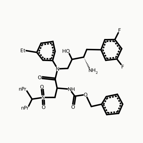 CCCC(CCC)S(=O)(=O)CC(NC(=O)OCc1ccccc1)C(=O)N(CC(O)[C@@H](N)Cc1cc(F)cc(F)c1)c1cccc(CC)c1